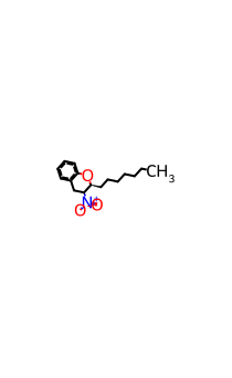 CCCCCCC[C@@H]1Oc2ccccc2C[C@@H]1[N+](=O)[O-]